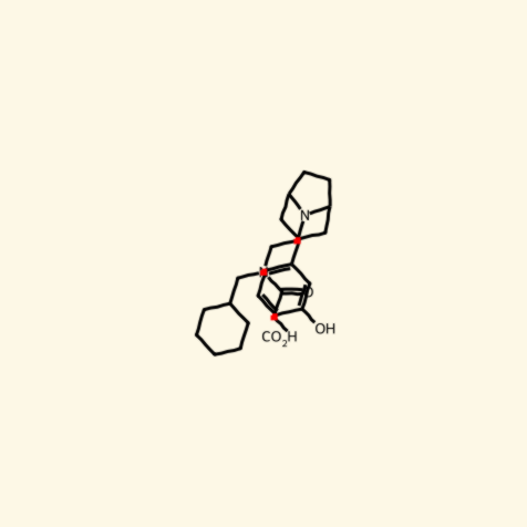 O=C(O)CC(=O)N(CCN1C2CCC1CC(c1cccc(O)c1)C2)CC1CCCCC1